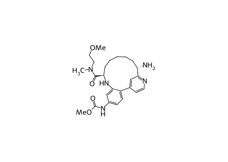 COCCN(C)C(=O)[C@H]1CCCCC[C@H](N)c2cc(ccn2)-c2ccc(NC(=O)OC)cc2N1